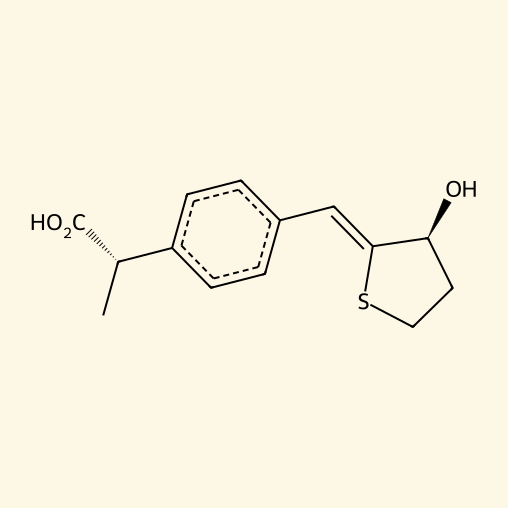 C[C@H](C(=O)O)c1ccc(/C=C2\SCC[C@@H]2O)cc1